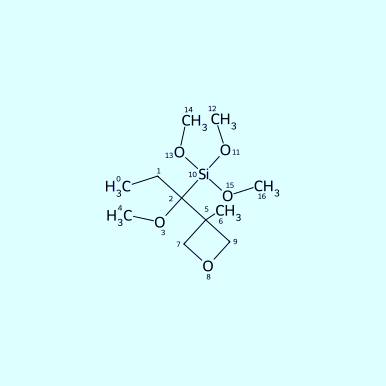 CCC(OC)(C1(C)COC1)[Si](OC)(OC)OC